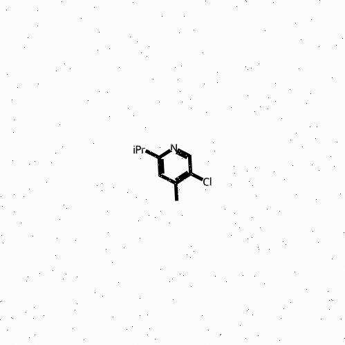 Cc1cc(C(C)C)ncc1Cl